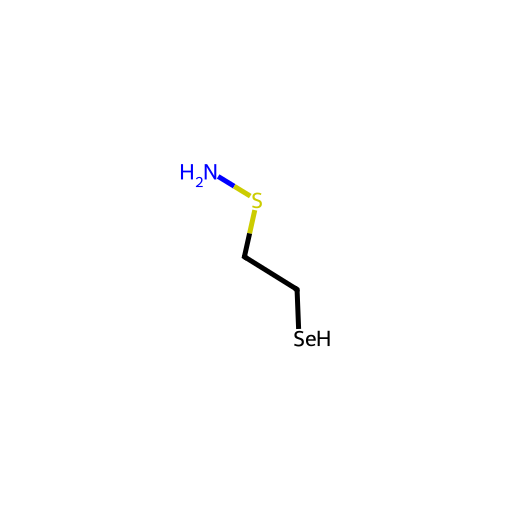 NSCC[SeH]